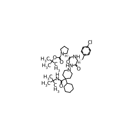 CC(C)(C)NC(=O)C1(C2CCCCC2)CCN(NC(=O)[C@@H](Cc2ccc(Cl)cc2)NC(=O)[C@H]2CCCN2C(=O)OC(C)(C)C)CC1